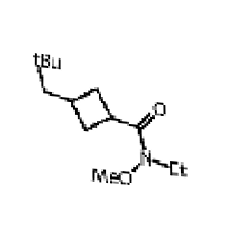 CCN(OC)C(=O)C1CC(CC(C)(C)C)C1